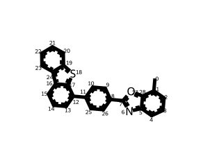 Cc1cccc2nc(-c3ccc(-c4cccc5c4sc4ccccc45)cc3)oc12